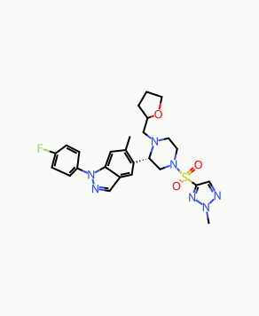 Cc1cc2c(cnn2-c2ccc(F)cc2)cc1[C@H]1CN(S(=O)(=O)c2cnn(C)n2)CCN1CC1CCCO1